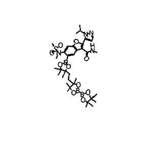 CNC(=O)c1c(-c2ccnn2C(C)C)oc2cc(N(C)S(C)(=O)=O)c(B3OC(C)(C)C(C)(CCC4(C)OB(B5OC(C)(C)C(C)(C)O5)OC4(C)C)O3)cc12